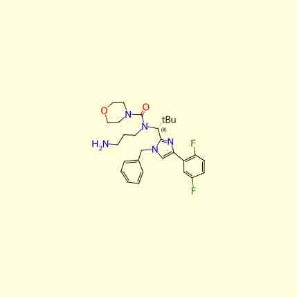 CC(C)(C)[C@H](c1nc(-c2cc(F)ccc2F)cn1Cc1ccccc1)N(CCCN)C(=O)N1CCOCC1